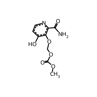 COC(=O)OCOc1c(O)ccnc1C(N)=O